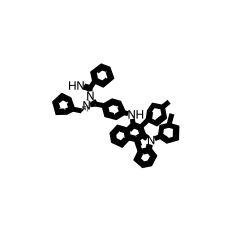 CC1C=CC(c2c(Nc3ccc(C4N(C(=N)c5ccccc5)[N@@]4Cc4ccccc4)cc3)c3ccccc3c3c4ccccc4n(C4=CC=CC(C)C4)c23)=CC1